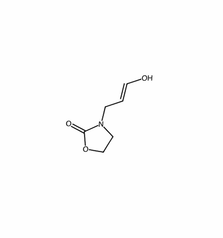 O=C1OCCN1CC=CO